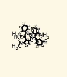 C=Nc1scc(C)c1C(=C)N(c1ccccc1C)n1nc(-c2cccc(F)c2)c2c(N)ncnc21